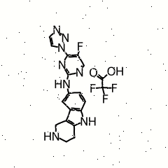 Fc1cnc(Nc2ccc3[nH]c4c(c3c2)CNCC4)nc1-n1ccnn1.O=C(O)C(F)(F)F